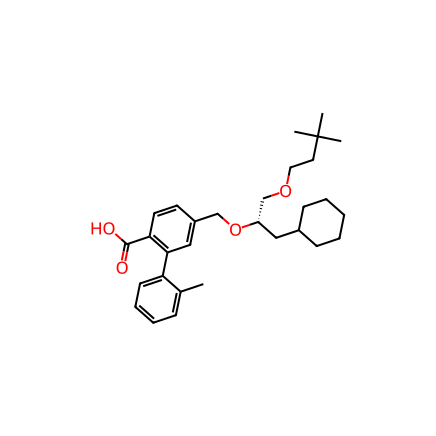 Cc1ccccc1-c1cc(CO[C@H](COCCC(C)(C)C)CC2CCCCC2)ccc1C(=O)O